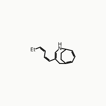 CC\C=C/C=C\C1=C\NC2C=CC=C(CC2)C1